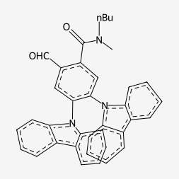 CCCCN(C)C(=O)c1cc(-n2c3ccccc3c3ccccc32)c(-n2c3ccccc3c3ccccc32)cc1C=O